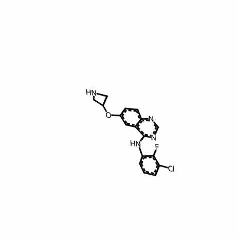 Fc1c(Cl)cccc1Nc1ncnc2ccc(OC3CNC3)cc12